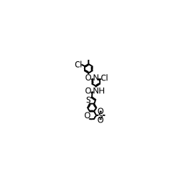 Cc1ccc(Oc2cc(NC(=O)c3cc4cc5c(cc4s3)OCCC5S(C)(=O)=O)cc(Cl)n2)cc1Cl